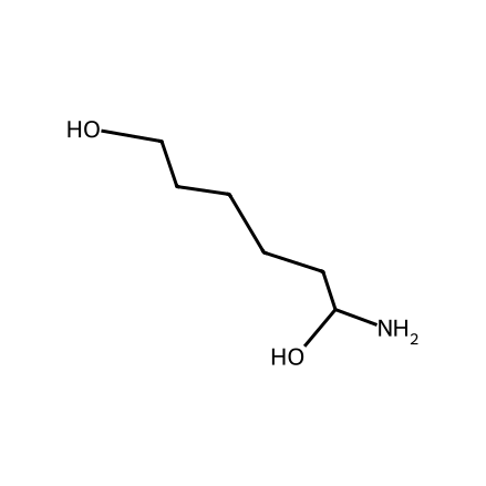 NC(O)CCCCCO